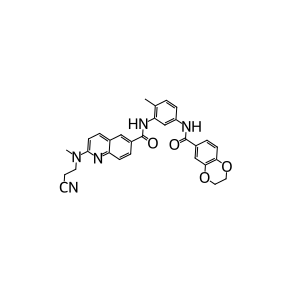 Cc1ccc(NC(=O)c2ccc3c(c2)OCCO3)cc1NC(=O)c1ccc2nc(N(C)CCC#N)ccc2c1